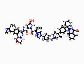 Cc1ncsc1-c1ccc([C@H](CN2CCOCC2)NC(=O)[C@@H]2C[C@@H](O)CN2C(=O)[C@@H](n2cc(C3CCC(CN4CCC(c5ccc6c(c5)-n5c(nc(=O)c7ccccc75)C65CCCCC5)CC4)CC3)nn2)C(C)(C)C)cc1